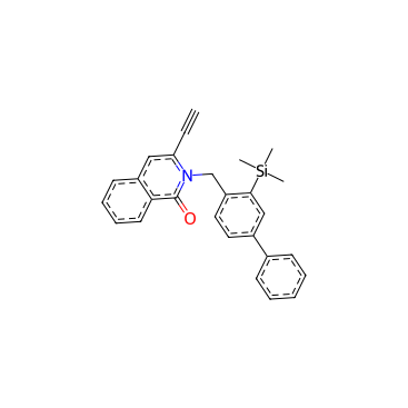 C#Cc1cc2ccccc2c(=O)n1Cc1ccc(-c2ccccc2)cc1[Si](C)(C)C